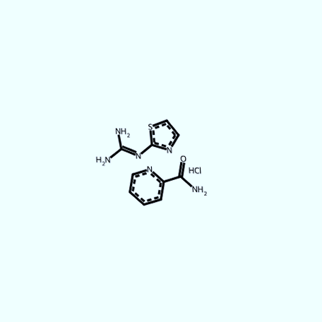 Cl.NC(=O)c1ccccn1.NC(N)=Nc1nccs1